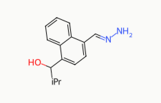 CC(C)C(O)c1ccc(C=NN)c2ccccc12